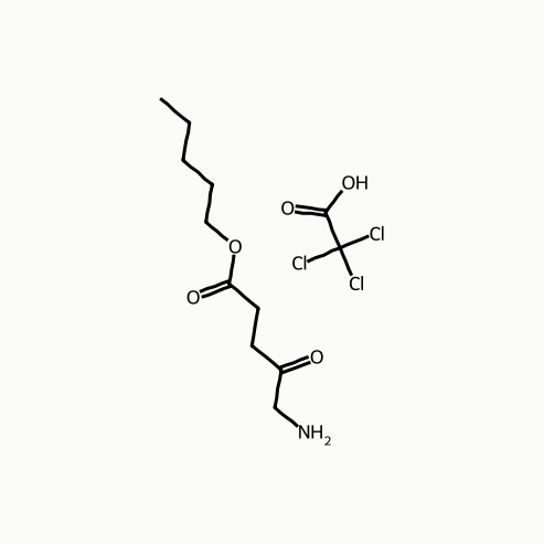 CCCCCOC(=O)CCC(=O)CN.O=C(O)C(Cl)(Cl)Cl